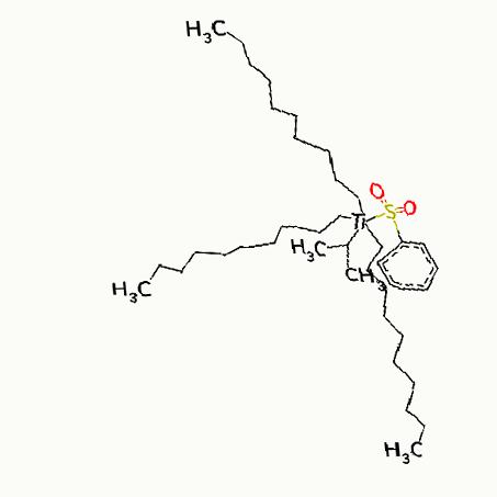 CCCCCCCCC[CH2][Ti]([CH2]CCCCCCCCC)([CH2]CCCCCCCCC)([CH](C)C)[S](=O)(=O)c1ccccc1